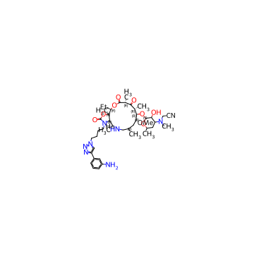 CC[C@H]1OC(=O)[C@H](C)C(=O)[C@H](C)[C@@H](O[C@@H]2OC(C)CC(N(C)CC#N)C2O)[C@H](OC)C[C@@H](C)CN[C@H](C)[C@H]2N(CCCCn3cc(-c4cccc(N)c4)nn3)C(=O)O[C@]12C